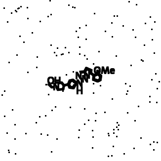 COc1ccccc1-c1ccc2cnc(Nc3ccc(C4CCN(C[C@H](C)O)CC4)cc3)nn12